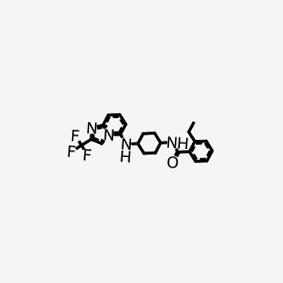 CCc1ccccc1C(=O)NC1CCC(Nc2cccc3nc(C(F)(F)F)cn23)CC1